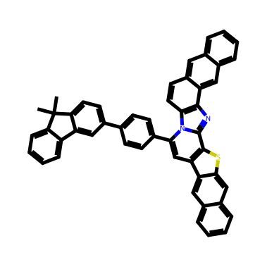 CC1(C)c2ccccc2-c2cc(-c3ccc(-c4cc5c6cc7ccccc7cc6sc5c5nc6c7cc8ccccc8cc7ccc6n45)cc3)ccc21